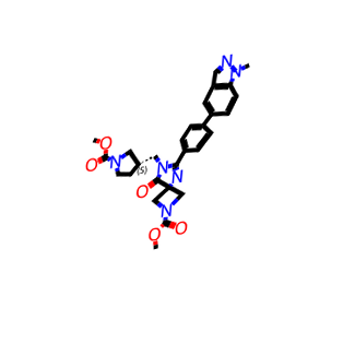 COC(=O)N1CC[C@@H](CN2C(=O)C3(CN(C(=O)OC)C3)N=C2c2ccc(-c3ccc4c(cnn4C)c3)cc2)C1